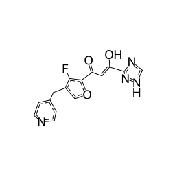 O=C(C=C(O)c1nc[nH]n1)c1occ(Cc2ccncc2)c1F